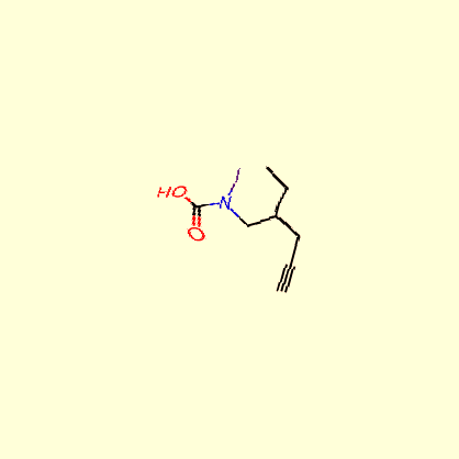 C#CCC(CC)CN(I)C(=O)O